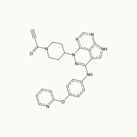 C#CC(=O)N1CCC(N2N=C(Nc3ccc(Oc4ccccn4)cc3)c3c[nH]c4ncnc2c34)CC1